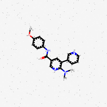 CCCN(C)c1ncc(C(=O)Nc2ccc(OC(F)(F)F)cc2)cc1-c1cccnc1